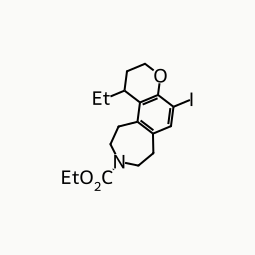 CCOC(=O)N1CCc2cc(I)c3c(c2CC1)C(CC)CCO3